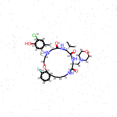 CC(C)[C@H]1NC(=O)[C@@H](Cc2ccc(O)c(Cl)c2)N[C@@H](C)COc2c(F)cccc2CCCNC(=O)[C@H](CN2CCOCC2)NC1=O